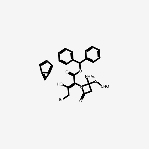 CC(=O)NC1(SC=O)CC(=O)N1C(C(=O)OC(c1ccccc1)c1ccccc1)=C(O)CBr.c1cc2cc-2c1